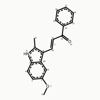 COc1ccc2[nH]c(C)c(/C=C/C(=O)c3ccccc3)c2c1